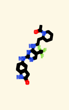 CC(=O)N1CCCCC1CCNc1nc(Nc2ccc3c(c2)CC(=O)N3)ncc1C(F)(F)F